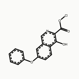 O=C(OCl)c1ncc2cc(Oc3ccccc3)ccc2c1O